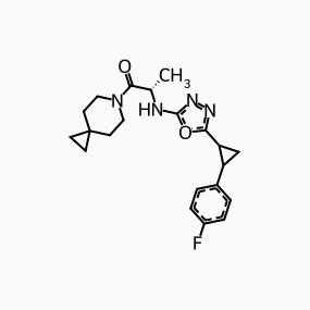 C[C@H](Nc1nnc(C2CC2c2ccc(F)cc2)o1)C(=O)N1CCC2(CC1)CC2